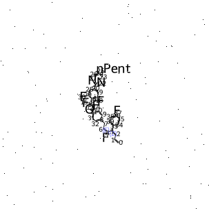 C=C/C=C(\C(F)=C/Cc1ccc(OC(F)(F)c2c(F)cc(-c3ncc(CCCCC)cn3)cc2F)cc1)c1ccc(F)cc1